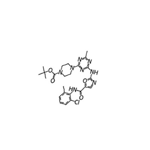 Cc1nc(Nc2ncc(C(=O)Nc3c(C)cccc3Cl)o2)nc(N2CCN(C(=O)OC(C)(C)C)CC2)n1